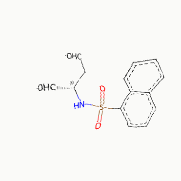 O=[C]C[C@@H]([C]=O)NS(=O)(=O)c1cccc2ccccc12